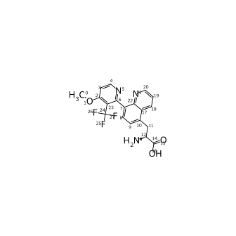 COc1ccnc(-c2ccc(C[C@H](N)C(=O)O)c3cccnc23)c1C(F)(F)F